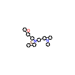 c1ccc(-n2c3ccccc3c3ccc(-c4ccc(N(c5ccc(-c6ccc7c(c6)oc6ccccc67)cc5)c5cccc6c5sc5ccccc56)cc4)cc32)cc1